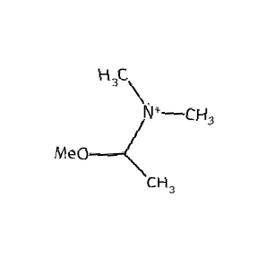 COC(C)[N+](C)C